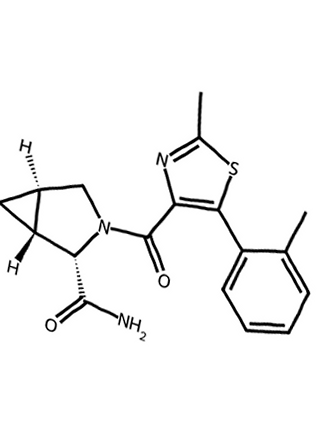 Cc1nc(C(=O)N2C[C@@H]3C[C@H]3[C@H]2C(N)=O)c(-c2ccccc2C)s1